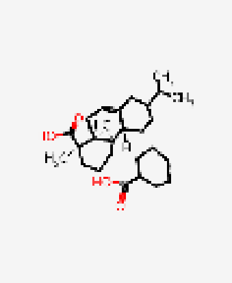 CC(C)C1CC[C@H]2C(=CCC3[C@](C)(C(=O)O)CCC[C@@]32C)C1.O=C(O)C1CCCCC1